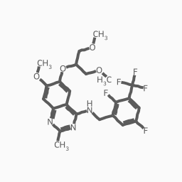 COCC(COC)Oc1cc2c(NCc3cc(F)cc(C(F)(F)F)c3F)nc(C)nc2cc1OC